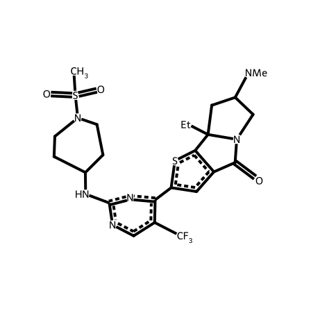 CCC12CC(NC)CN1C(=O)c1cc(-c3nc(NC4CCN(S(C)(=O)=O)CC4)ncc3C(F)(F)F)sc12